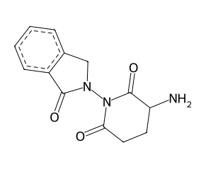 NC1CCC(=O)N(N2Cc3ccccc3C2=O)C1=O